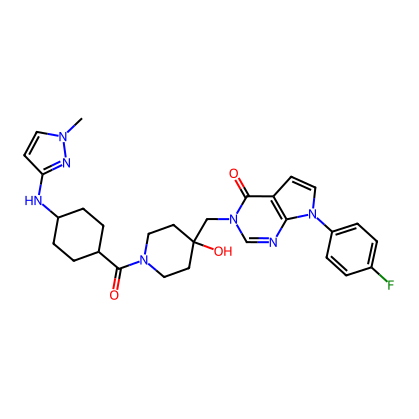 Cn1ccc(NC2CCC(C(=O)N3CCC(O)(Cn4cnc5c(ccn5-c5ccc(F)cc5)c4=O)CC3)CC2)n1